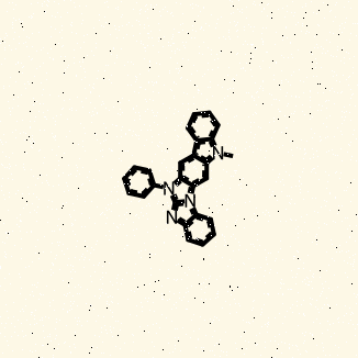 Cn1c2ccccc2c2cc3c(cc21)n1c2ccccc2nc1n3-c1ccccc1